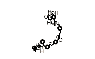 O=C(N[C@@H](c1ccccc1)c1cccc(OCc2ccc(C(=O)OCCCc3ccc(CNC[C@H](O)c4ccc(O)c5[nH]c(=O)ccc45)cc3)cc2)c1)O[C@H]1CN2CCC1CC2